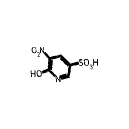 O=[N+]([O-])c1cc(S(=O)(=O)O)cnc1O